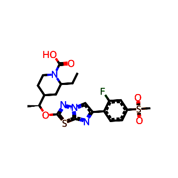 CCC1CC([C@H](C)Oc2nn3cc(-c4ccc(S(C)(=O)=O)cc4F)nc3s2)CCN1C(=O)O